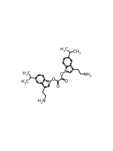 CC(C)c1ccc2c(c1)c(CCN)cn2OC(=O)C(=O)On1cc(CCN)c2cc(C(C)C)ccc21